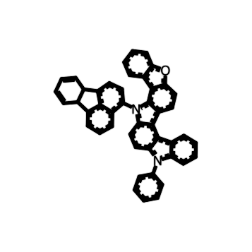 C1=CC2c3cccc4c(-n5c6ccc7c(c8ccccc8n7-c7ccccc7)c6c6ccc7oc8ccccc8c7c65)ccc(c34)C2C=C1